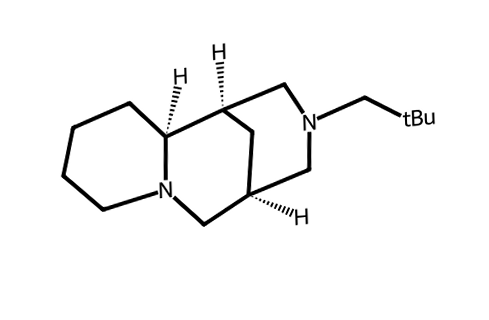 CC(C)(C)CN1C[C@@H]2C[C@H](C1)[C@@H]1CCCCN1C2